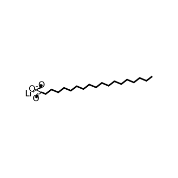 CCCCCCCCCCCCCCCCCCS(=O)(=O)[O-].[Li+]